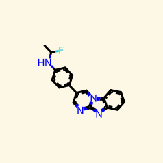 CC(F)Nc1ccc(-c2cnc3nc4ccccc4n3c2)cc1